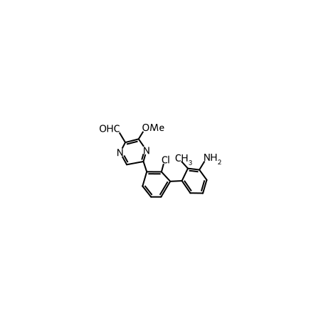 COc1nc(-c2cccc(-c3cccc(N)c3C)c2Cl)cnc1C=O